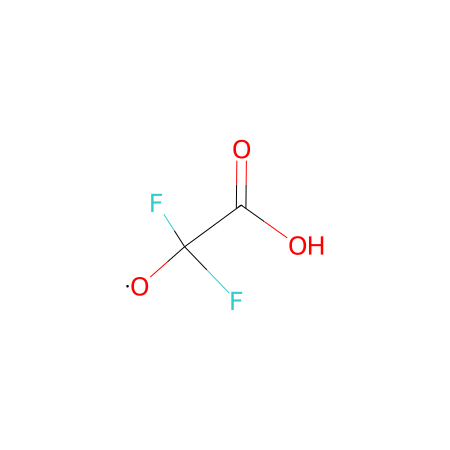 [O]C(F)(F)C(=O)O